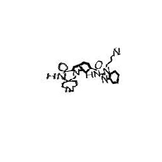 CN(C)CCCn1c(NC(=O)c2ccc3cc4n(c3c2)CC2(CCN(C)CC2)CNC4=O)nc2ccccc21